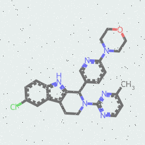 Cc1ccnc(N2CCc3c([nH]c4ccc(Cl)cc34)C2c2ccc(N3CCOCC3)nc2)n1